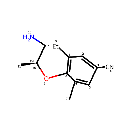 CCc1cc(C#N)cc(C)c1O[C@@H](C)CN